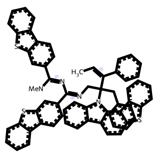 C/C=C(/c1ccccc1)C(C/N=C(\N=C(/NC)c1ccc2c(c1)sc1ccccc12)c1ccc2c(c1)sc1ccccc12)(Cc1ccccc1)n1c2ccccc2c2ccc3sc4ccccc4c3c21